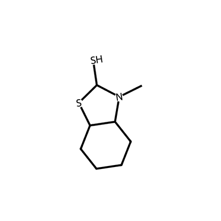 CN1C(S)SC2CCCCC21